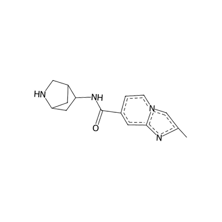 Cc1cn2ccc(C(=O)NC3CC4CC3CN4)cc2n1